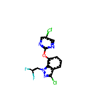 FC(F)Cn1nc(Cl)c2cccc(Oc3ncc(Cl)cn3)c21